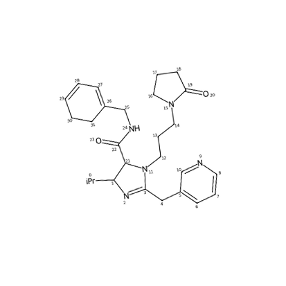 CC(C)C1N=C(Cc2cccnc2)N(CCCN2CCCC2=O)C1C(=O)NCC1=CC=CCC1